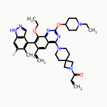 C=CC(=O)N1CC2(CCN(c3nc(OC4CCN(CC)CC4)nc4c(OCC)c(-c5c(C)c(F)cc6[nH]ncc56)c(C=C)cc34)CC2)C1